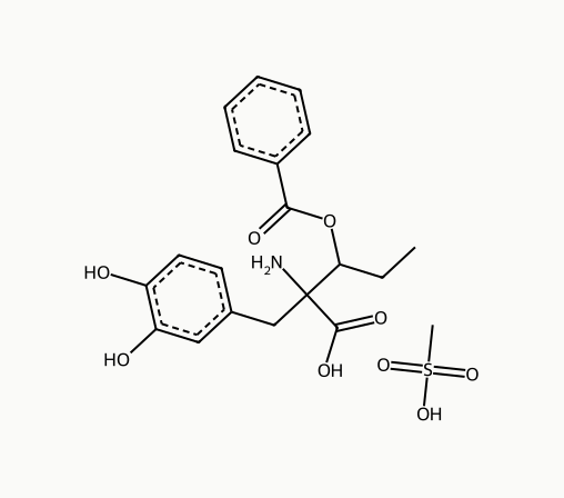 CCC(OC(=O)c1ccccc1)C(N)(Cc1ccc(O)c(O)c1)C(=O)O.CS(=O)(=O)O